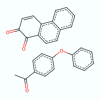 CC(=O)c1ccc(Oc2ccccc2)cc1.O=C1C=Cc2c(ccc3ccccc23)C1=O